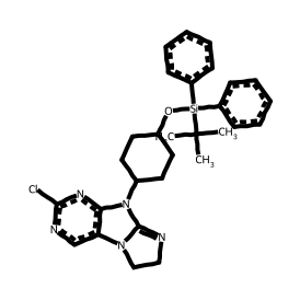 CC(C)(C)[Si](OC1CCC(N2C3=NCCN3c3cnc(Cl)nc32)CC1)(c1ccccc1)c1ccccc1